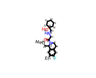 CCc1cc2c(cc1F)CCN(C(=O)CNCC1(O)CCCCC1)C2COC